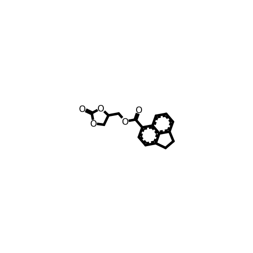 O=C1OCC(COC(=O)c2ccc3c4c(cccc24)CC3)O1